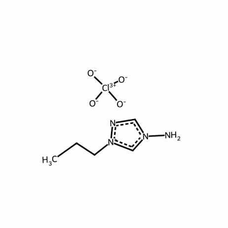 CCC[n+]1cn(N)cn1.[O-][Cl+3]([O-])([O-])[O-]